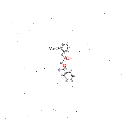 COc1ccccc1CC(O)COC(I)c1ccccc1